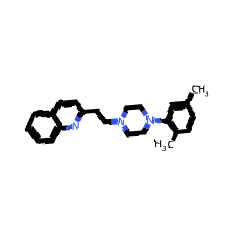 Cc1ccc(C)c(N2CCN(CCc3ccc4ccccc4n3)CC2)c1